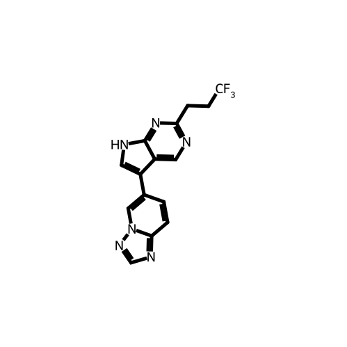 FC(F)(F)CCc1ncc2c(-c3ccc4ncnn4c3)c[nH]c2n1